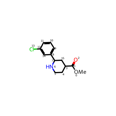 COC(=O)C1CCNC(c2cccc(Cl)c2)C1